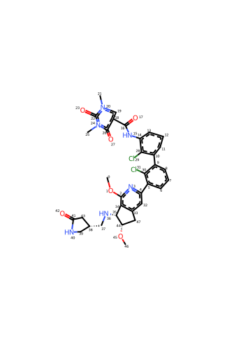 COc1nc(-c2cccc(-c3cccc(NC(=O)c4cn(C)c(=O)n(C)c4=O)c3Cl)c2Cl)cc2c1[C@@H](NC[C@@H]1CNC(=O)C1)[C@@H](OC)C2